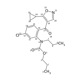 CCCOC(=O)N(CCC)c1cc(Cl)ccc1C(=O)c1cnoc1C1CC1